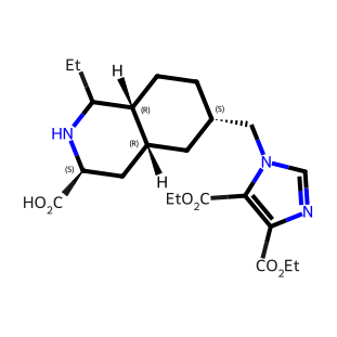 CCOC(=O)c1ncn(C[C@H]2CC[C@H]3C(CC)N[C@H](C(=O)O)C[C@H]3C2)c1C(=O)OCC